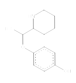 CC(Oc1ccc(O)cc1)C1CCCCN1